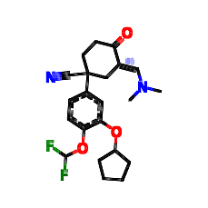 CN(C)/C=C1\CC(C#N)(c2ccc(OC(F)F)c(OC3CCCC3)c2)CCC1=O